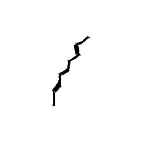 CC=CC=[C]CC=CC